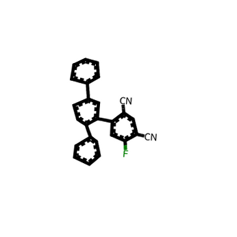 N#Cc1cc(C#N)c(-c2cc(-c3ccccc3)ccc2-c2ccccc2)cc1F